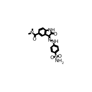 CN(C)C(=O)c1ccc2c(c1)C(=NNc1ccc(S(N)(=O)=O)cc1)C(=O)N2